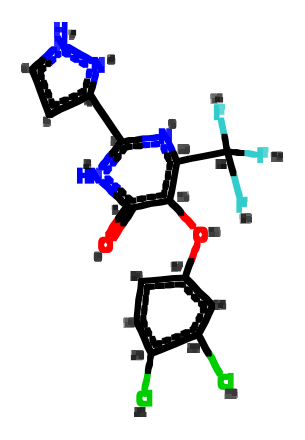 O=c1[nH]c(-c2cc[nH]n2)nc(C(F)(F)F)c1Oc1ccc(Cl)c(Cl)c1